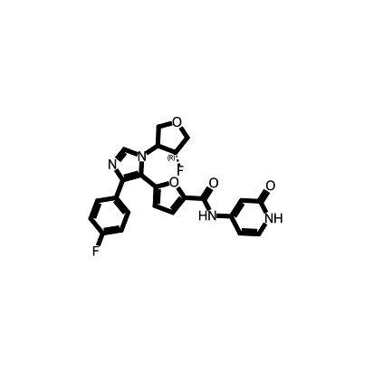 O=C(Nc1cc[nH]c(=O)c1)c1ccc(-c2c(-c3ccc(F)cc3)ncn2C2COC[C@@H]2F)o1